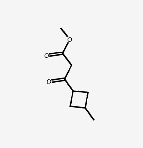 COC(=O)CC(=O)C1CC(C)C1